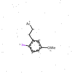 COc1ccc(I)c(CCC(C)=O)c1